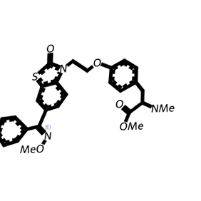 CNC(Cc1ccc(OCCn2c(=O)sc3cc(/C(=N/OC)c4ccccc4)ccc32)cc1)C(=O)OC